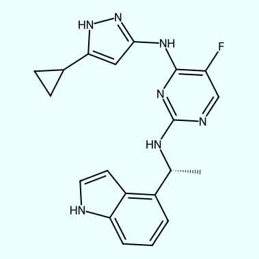 C[C@@H](Nc1ncc(F)c(Nc2cc(C3CC3)[nH]n2)n1)c1cccc2[nH]ccc12